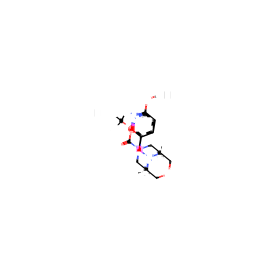 COc1ccc(CN2[C@@H]3COC[C@H]2CN(C(=O)OC(C)(C)C)C3)cn1